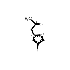 CC(=O)Cn1cc(I)cn1